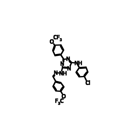 FC(F)(F)Oc1ccc(/C=N\Nc2nc(Nc3ccc(Cl)cc3)nc(-c3ccc(OC(F)(F)F)cc3)n2)cc1